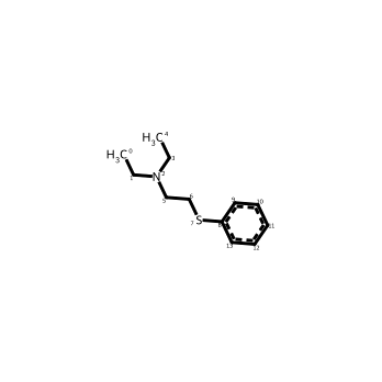 CCN(CC)CCSc1ccccc1